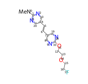 CNc1ncc(C=Cc2cnc(OCCOCCF)nc2)cn1